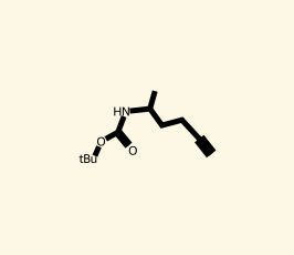 C#CCCC(C)NC(=O)OC(C)(C)C